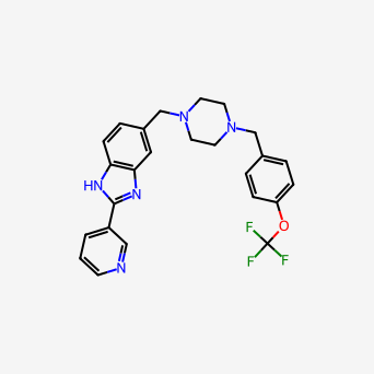 FC(F)(F)Oc1ccc(CN2CCN(Cc3ccc4[nH]c(-c5cccnc5)nc4c3)CC2)cc1